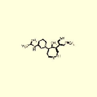 C=N/C=C(C=N)/C1=C/N/N=C\C=C(\N2CCCC(NC(C)C)C2)C1=C